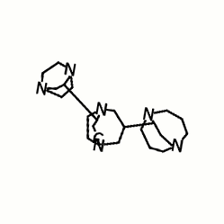 C1CN2CCCN(C1)C(C1CN3CCC(C4CN5CCN(CC5)C4)N(CC3)C1)CC2